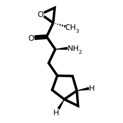 C[C@@]1(C(=O)[C@@H](N)CC2C[C@@H]3C[C@@H]3C2)CO1